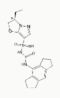 CC[C@@H]1COc2c(S(=N)(=O)NC(=O)Nc3c4c(cc5c3CCC5)CCC4)cnn21